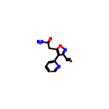 Cc1noc(CC(N)=O)c1-c1ccccn1